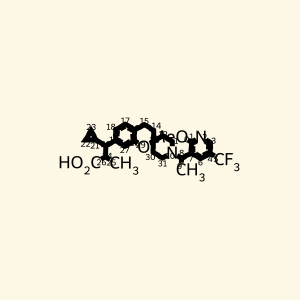 COc1ncc(C(F)(F)F)cc1C(C)N1CCC2(CCc3ccc(C(C4CC4)C(C)C(=O)O)cc3O2)CC1